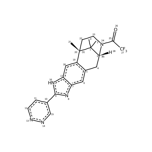 CC1(C)[C@H]2Cc3cc4nc(-c5ccnnc5)[nH]c4cc3[C@]1(C)CCN2C(=O)C(F)(F)F